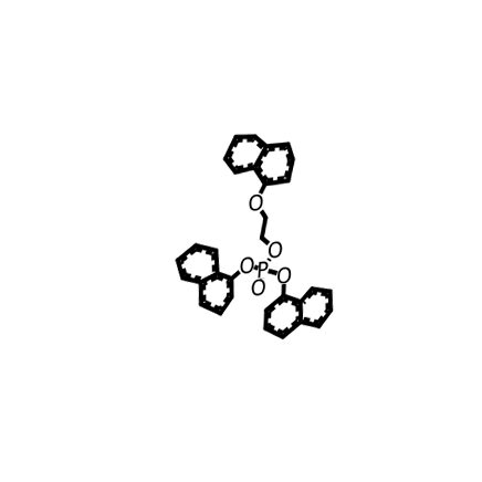 O=P(OCCOc1cccc2ccccc12)(Oc1cccc2ccccc12)Oc1cccc2ccccc12